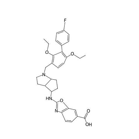 CCOc1ccc(CN2CCC3C(Nc4nc5ccc(C(=O)O)cc5o4)CCC32)c(OCC)c1-c1ccc(F)cc1